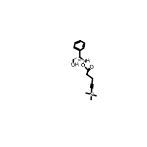 C[Si](C)(C)C#CCCC(=O)ON[C@H](CO)c1ccccc1